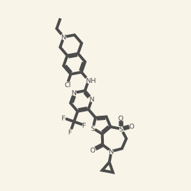 CCN1CCc2cc(Nc3ncc(C(F)(F)F)c(-c4cc5c(s4)C(=O)N(C4CC4)CCS5(=O)=O)n3)c(Cl)cc2C1